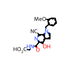 COc1ccccc1Cn1ccc2c(O)c(C(=O)NCC(=O)O)nc(C#N)c21